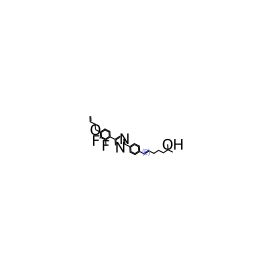 C=CCOc1ccc(-c2cnc(-c3ccc(/C=C/CCCC(C)O)cc3)nc2)c(F)c1F